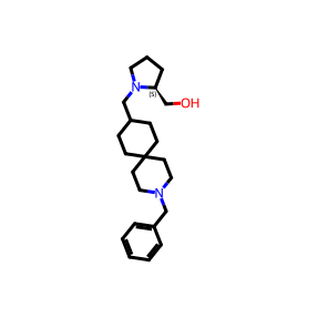 OC[C@@H]1CCCN1CC1CCC2(CC1)CCN(Cc1ccccc1)CC2